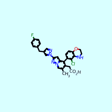 Cc1cn2nc(-n3cc(Cc4ccc(F)cc4)cn3)cc2c(-c2ccc3c(c2Cl)NCCO3)c1CC(=O)O